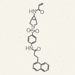 C=CC(=O)NC1C2CN(S(=O)(=O)c3ccc(NC(=O)CCc4cccc5ccccc45)cc3)CC21